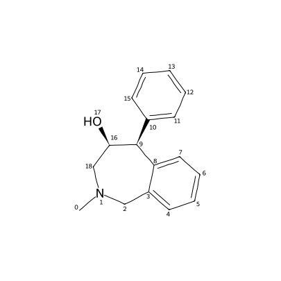 CN1Cc2ccccc2[C@H](c2ccccc2)[C@H](O)C1